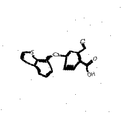 O=C(O)c1ccc(Oc2cccc3ccsc23)cc1CCl